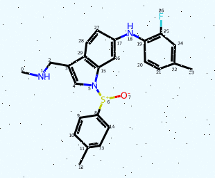 CNCc1cn([S+]([O-])c2ccc(C)cc2)c2cc(Nc3ccc(C)cc3F)ccc12